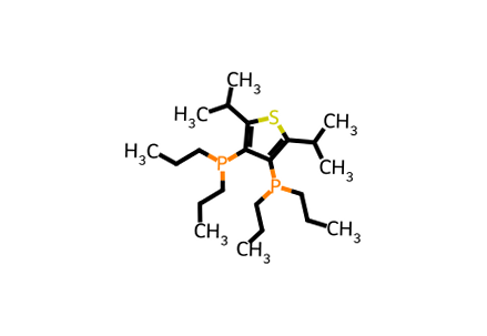 CCCP(CCC)c1c(C(C)C)sc(C(C)C)c1P(CCC)CCC